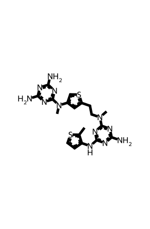 Cc1sccc1Nc1nc(N)nc(N(C)CCc2cc(N(C)c3nc(N)nc(N)n3)cs2)n1